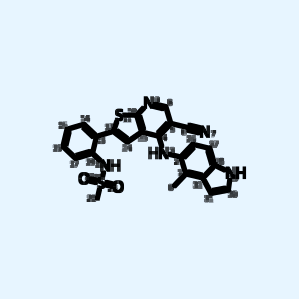 Cc1c(Nc2c(C#N)cnc3sc(-c4ccccc4NS(C)(=O)=O)cc23)ccc2[nH]ccc12